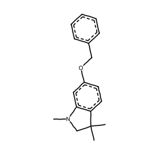 CN1CC(C)(C)c2ccc(OCc3ccccc3)cc21